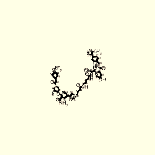 Cc1ncsc1-c1ccc(CNC(=O)[C@@H]2C[C@@H](O)CN2C(=O)C(NC(=O)CCCCNC(=O)CCCn2cnc(-c3cnc(O[C@@H]4CCN(C(=O)Cc5ccc(OC(F)(F)F)cc5)C[C@H]4F)c(C(N)=O)c3)c2)C(C)(C)C)cc1